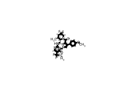 COc1ccc(-c2cn(C)nc2C(=O)N2CC(F)(F)C[C@@H](C)[C@H]2CNc2ncc(C(F)(F)F)c(OC)n2)cc1